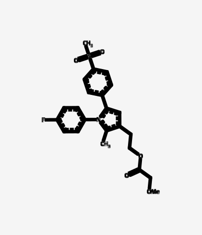 COCC(=O)OCCc1cc(-c2ccc(S(C)(=O)=O)cc2)n(-c2ccc(F)cc2)c1C